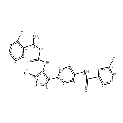 C[C@@H](OC(=O)Nc1c(-c2ccc(NC(=O)c3ccnc(Cl)c3)cn2)nnn1C)c1cccnc1Cl